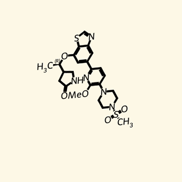 COc1nc(-c2cc(O[C@H](C)C3CNC(=O)C3)c3scnc3c2)ccc1N1CCN(S(C)(=O)=O)CC1